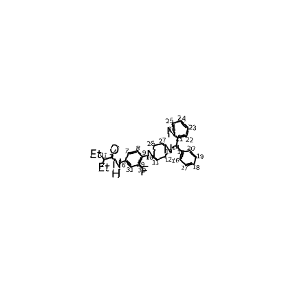 CCC(CC)C(=O)Nc1ccc(N2CCN(C(c3ccccc3)c3ccccn3)CC2)c(F)c1